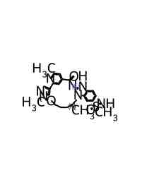 Cc1cc2cc(n1)-c1cnn(C)c1OCCC[C@@H](C)CN1/C(=N/C2=O)Nc2ccc(S(C)(=N)=O)cc21